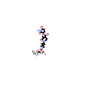 CC(C)(C)OC(=O)N1CC2(CC(n3ccc4c(c3=O)CN(C3CCC(=O)NC3=O)C4=O)C2)C1